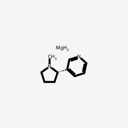 CN1CCC[C@H]1c1cccnc1.[MgH2]